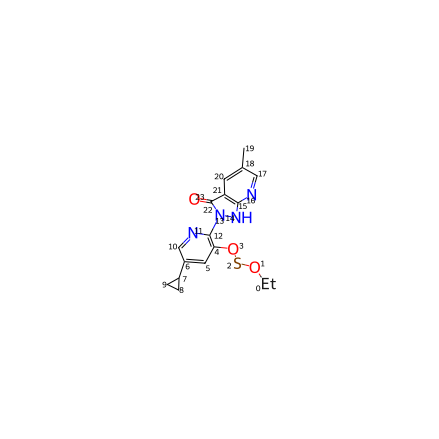 CCOSOc1cc(C2CC2)cnc1-n1[nH]c2ncc(C)cc2c1=O